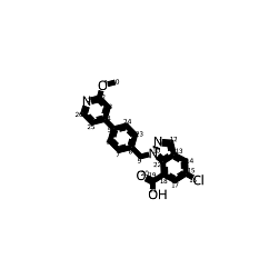 COc1cc(-c2ccc(Cn3ncc4cc(Cl)cc(C(=O)O)c43)cc2)ccn1